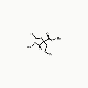 CCCCOC(=O)C(CCC(C)C)(CCC(C)C)C(=O)OCCCC